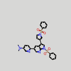 CN(C)c1ccc(-c2cnc3c(c2)c(-c2ccn(S(=O)(=O)c4ccccc4)c2)cn3S(=O)(=O)c2ccccc2)nc1